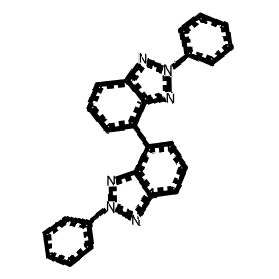 c1ccc(-n2nc3cccc(-c4cccc5nn(-c6ccccc6)nc45)c3n2)cc1